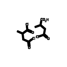 CC(CC(=O)Cl)C(=O)Cl.CC(CC(=O)Cl)C(=O)O